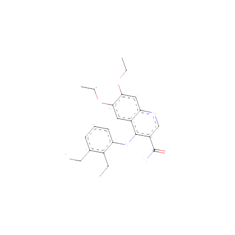 CCOc1cc2ncc(C(N)=O)c(Nc3cccc(CO)c3CC)c2cc1OCC